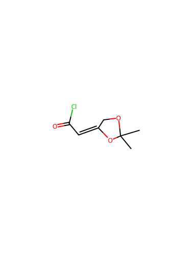 CC1(C)OCC(=CC(=O)Cl)O1